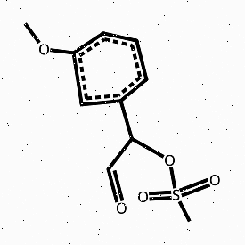 COc1cccc(C(C=O)OS(C)(=O)=O)c1